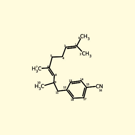 CC(C)=CCC/C(C)=C/C(C)Cc1ccc(C#N)cc1